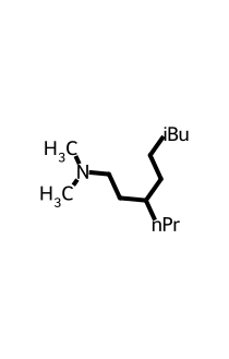 CCCC(CCC(C)CC)CCN(C)C